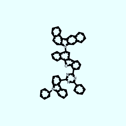 c1ccc(-c2nc(-c3cccc4c3oc3c5ccccc5c(-n5c6cc7ccccc7cc6c6c7ccccc7ccc65)cc43)nc(-c3cccc4c3c3ccccc3n4-c3ccccc3)n2)cc1